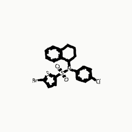 O=S(=O)(c1ccc(Br)s1)N(c1ccc(Cl)cc1)C1CCCc2ccccc21